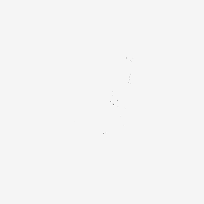 COC1CN(CCC#N)CCC1C